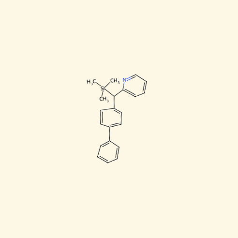 C[Si](C)(C)C(c1ccc(-c2ccccc2)cc1)c1ccccn1